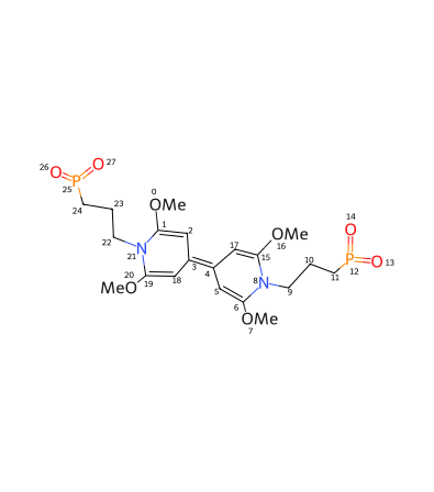 COC1=CC(=C2C=C(OC)N(CCCP(=O)=O)C(OC)=C2)C=C(OC)N1CCCP(=O)=O